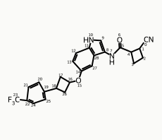 N#CC1CCC1C(=O)Nc1c[nH]c2ccc(OC3CC(c4ccc(C(F)(F)F)cc4)C3)cc12